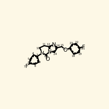 O=C1N(c2ccc(F)cc2)CCc2nc(COc3ccc(F)cc3)cn21